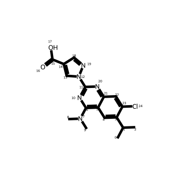 CC(C)c1cc2c(N(C)C)nc(-n3cc(C(=O)O)cn3)nc2cc1Cl